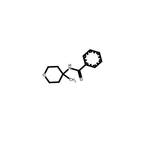 CC1(NC(=O)c2ccccc2)CCOCC1